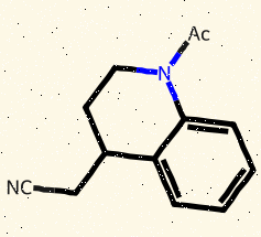 CC(=O)N1CCC(CC#N)c2ccccc21